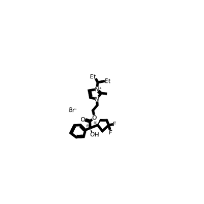 CCC(CC)[n+]1ccn(CCOC(=O)[C@](O)(c2ccccc2)[C@H]2CCC(F)(F)C2)c1C.[Br-]